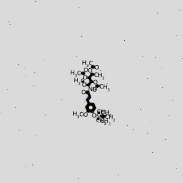 COc1cc(/C=C/C(=O)NC(OC)C(OC(C)=O)C(OC(C)=O)C(C)OC(C)=O)ccc1O[Si](C)(C)C(C)(C)C